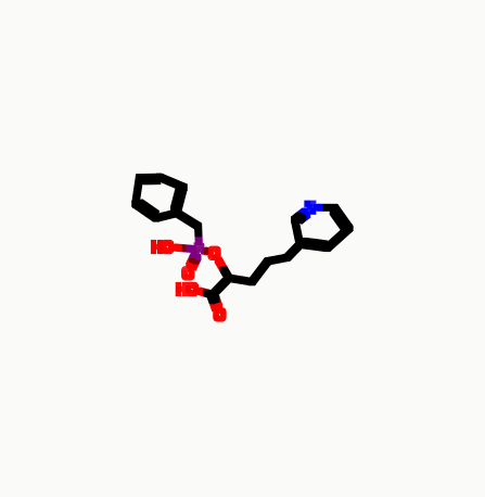 O=C(O)C(CCCc1cccnc1)OP(=O)(O)Cc1ccccc1